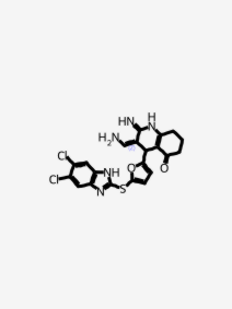 N=C1NC2=C(C(=O)CCC2)C(c2ccc(Sc3nc4cc(Cl)c(Cl)cc4[nH]3)o2)/C1=C/N